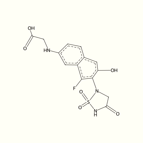 O=C(O)CNc1ccc2cc(O)c(N3CC(=O)NS3(=O)=O)c(F)c2c1